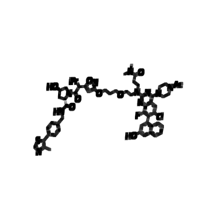 CC(=O)N1CCN(c2nc(N(CCOCCCOc3cc(C(C(=O)N4C[C@H](O)C[C@H]4C(=O)NCc4ccc(-c5scnc5C)cc4)C(C)C)on3)CCC(=O)N(C)C)nc3c(F)c(-c4cc(O)cc5ccccc45)c(Cl)cc23)CC1